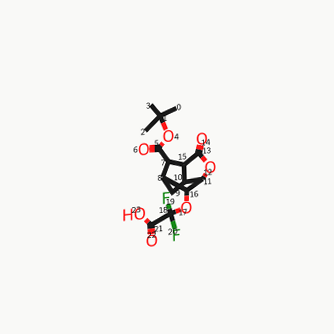 CC(C)(C)OC(=O)C1C2CC3C(OC(=O)C31)C2OC(F)(F)C(=O)O